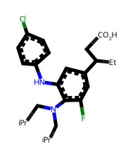 CCC(CC(=O)O)c1cc(F)c(N(CC(C)C)CC(C)C)c(Nc2ccc(Cl)cc2)c1